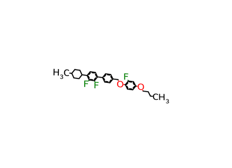 CCCCOc1ccc(OCc2ccc(-c3ccc(C4CCC(C)CC4)c(F)c3F)cc2)c(F)c1